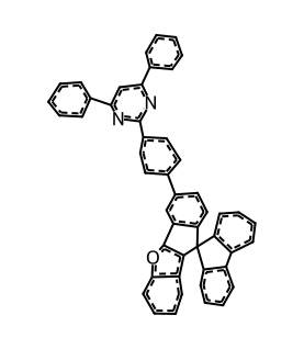 c1ccc(-c2cc(-c3ccccc3)nc(-c3ccc(-c4ccc5c(c4)-c4oc6ccccc6c4C54c5ccccc5-c5ccccc54)cc3)n2)cc1